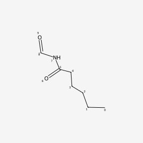 CCCCCC(=O)N[C]=O